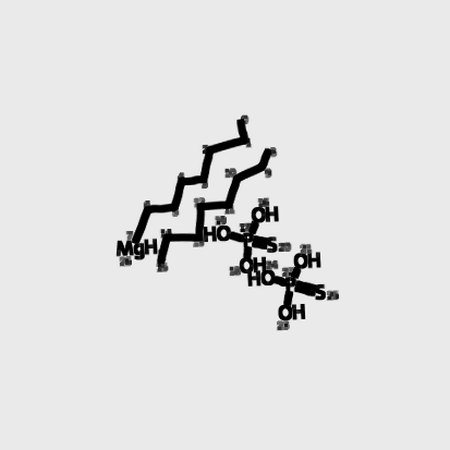 CCCCCCCC.CCCCCCCC.OP(O)(O)=S.OP(O)(O)=S.[MgH2]